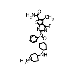 Cc1c(C(N)=O)sc2nc(N(O[C@H]3CC[C@H](NC4CCN(C)CC4)CC3)c3ccccc3)nc(F)c12